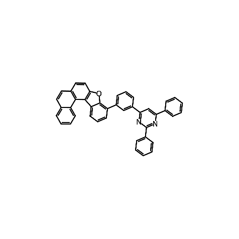 c1ccc(-c2cc(-c3cccc(-c4cccc5c4oc4ccc6ccc7ccccc7c6c45)c3)nc(-c3ccccc3)n2)cc1